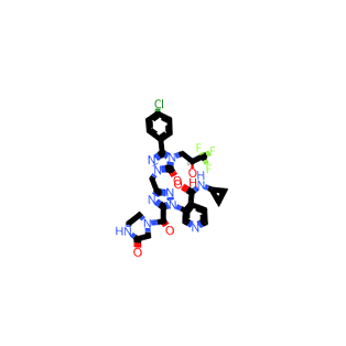 O=C1CN(C(=O)c2nc(Cn3nc(-c4ccc(Cl)cc4)n(C[C@H](O)C(F)(F)F)c3=O)nn2-c2cnccc2C(=O)NC2CC2)CCN1